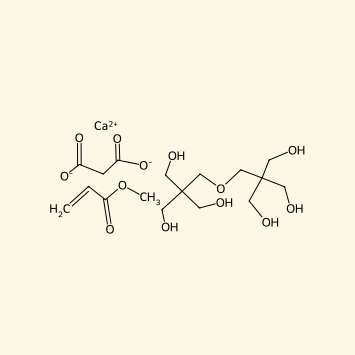 C=CC(=O)OC.O=C([O-])CC(=O)[O-].OCC(CO)(CO)COCC(CO)(CO)CO.[Ca+2]